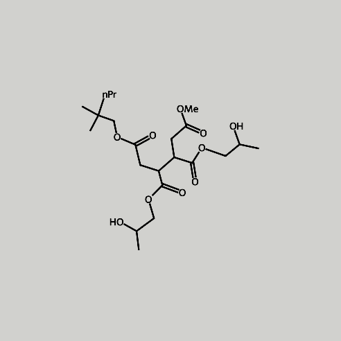 CCCC(C)(C)COC(=O)CC(C(=O)OCC(C)O)C(CC(=O)OC)C(=O)OCC(C)O